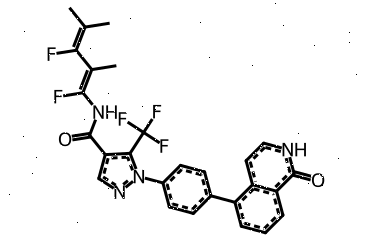 CC(C)=C(F)/C(C)=C(\F)NC(=O)c1cnn(-c2ccc(-c3cccc4c(=O)[nH]ccc34)cc2)c1C(F)(F)F